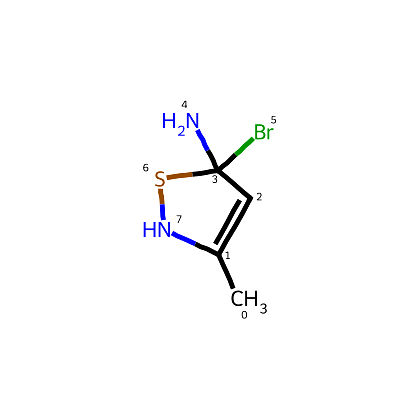 CC1=CC(N)(Br)SN1